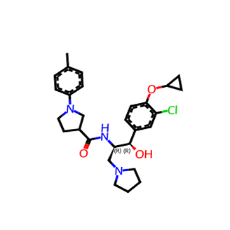 Cc1ccc(N2CCC(C(=O)N[C@H](CN3CCCC3)[C@H](O)c3ccc(OC4CC4)c(Cl)c3)C2)cc1